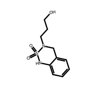 O=S1(=O)Nc2ccccc2CN1CCCO